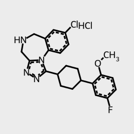 COc1ccc(F)cc1C1CCC(c2nnc3n2-c2ccc(Cl)cc2CNC3)CC1.Cl